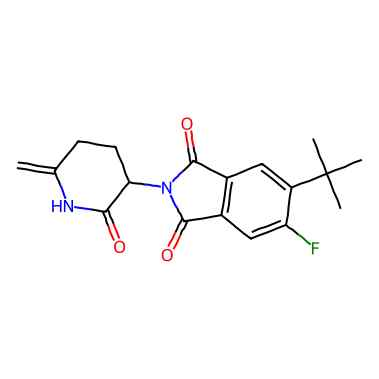 C=C1CCC(N2C(=O)c3cc(F)c(C(C)(C)C)cc3C2=O)C(=O)N1